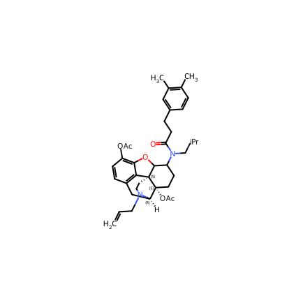 C=CCN1CC[C@]23c4c5ccc(OC(C)=O)c4OC2C(N(CC(C)C)C(=O)CCc2ccc(C)c(C)c2)CC[C@@]3(OC(C)=O)[C@H]1C5